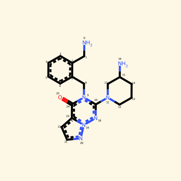 NCc1ccccc1Cn1c(N2CCCC(N)C2)nn2nccc2c1=O